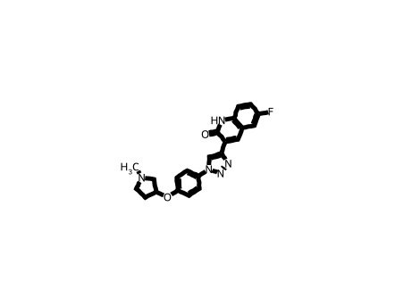 CN1CCC(Oc2ccc(-n3cc(-c4cc5cc(F)ccc5[nH]c4=O)nn3)cc2)C1